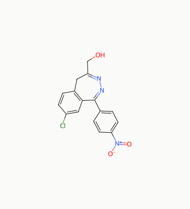 O=[N+]([O-])c1ccc(C2=NN=C(CO)Cc3ccc(Cl)cc32)cc1